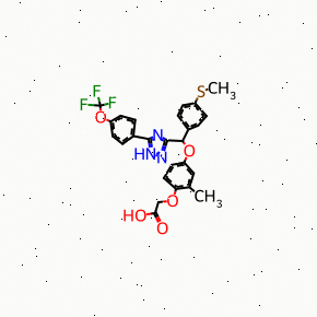 CSc1ccc(C(Oc2ccc(OCC(=O)O)c(C)c2)c2n[nH]c(-c3ccc(OC(F)(F)F)cc3)n2)cc1